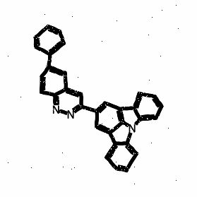 c1ccc(-c2ccc3nnc(-c4cc5c6ccccc6n6c7ccccc7c(c4)c56)cc3c2)cc1